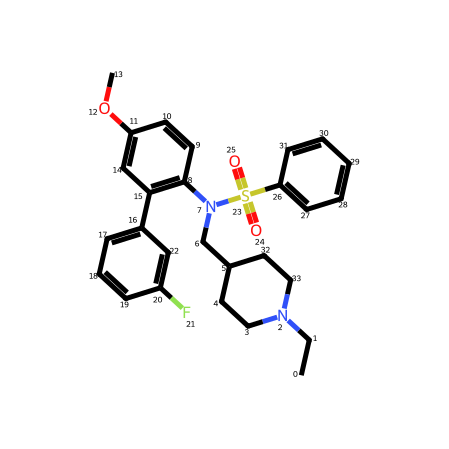 CCN1CCC(CN(c2ccc(OC)cc2-c2cccc(F)c2)S(=O)(=O)c2ccccc2)CC1